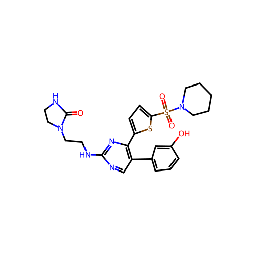 O=C1NCCN1CCNc1ncc(-c2cccc(O)c2)c(-c2ccc(S(=O)(=O)N3CCCCC3)s2)n1